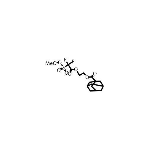 COOS(=O)(=O)C(F)(F)C(=O)OCCOC(=O)C12CC3CC(CC(C3)C1)C2